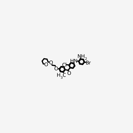 Cc1cc(OCCOC2CCCCO2)ccc1C(=O)c1ccc(Nc2ccc(Br)cc2N)cc1Cl